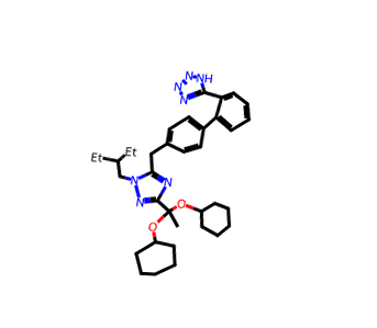 CCC(CC)Cn1nc(C(C)(OC2CCCCC2)OC2CCCCC2)nc1Cc1ccc(-c2ccccc2-c2nnn[nH]2)cc1